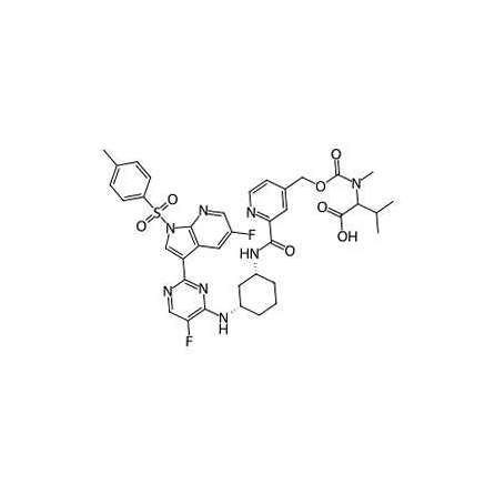 Cc1ccc(S(=O)(=O)n2cc(-c3ncc(F)c(N[C@H]4CCC[C@@H](NC(=O)c5cc(COC(=O)N(C)C(C(=O)O)C(C)C)ccn5)C4)n3)c3cc(F)cnc32)cc1